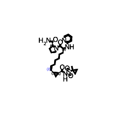 CC1(S(=O)(=O)NC(=O)[C@H]2C[C@H]2/C=C\CCCCC[C@H](Nc2ccccn2)C(=O)N2CCC[C@H]2C(N)=O)CC1